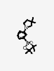 CC1(C)CCN(c2cccc(B3OC(C)(C)C(C)(C)O3)c2)C1